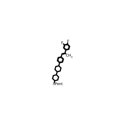 CCCCCC1CCC(C2CCC(c3ccc(/C=C(\C)c4ccc(F)c(F)c4)cc3)CC2)CC1